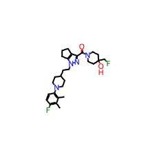 Cc1c(F)ccc(N2CCC(CCn3nc(C(=O)N4CCC(O)(CF)CC4)c4c3CCC4)CC2)c1C